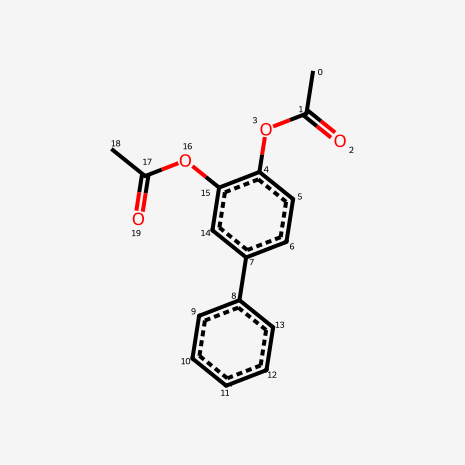 CC(=O)Oc1ccc(-c2cc[c]cc2)cc1OC(C)=O